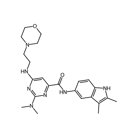 Cc1[nH]c2ccc(NC(=O)c3cc(NCCN4CCOCC4)nc(N(C)C)n3)cc2c1C